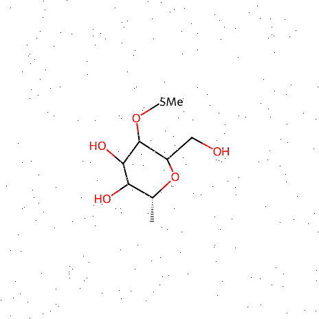 CSOC1C(CO)O[C@H](C)C(O)C1O